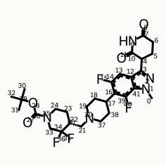 Cn1nc(C2CCC(=O)NC2=O)c2cc(F)c(C3CCN(C[C@@H]4CCN(C(=O)OC(C)(C)C)CC4(F)F)CC3)c(F)c21